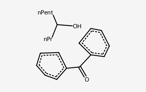 CCCCCC(O)CCC.O=C(c1ccccc1)c1ccccc1